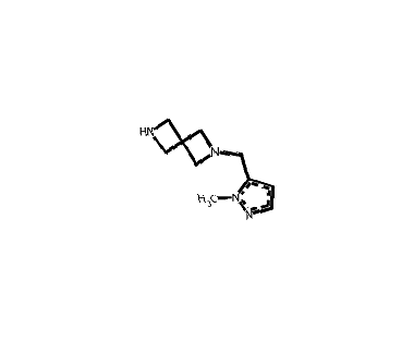 Cn1nccc1CN1CC2(CNC2)C1